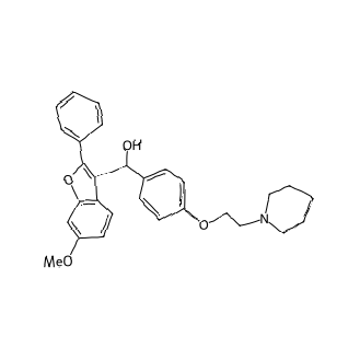 COc1ccc2c(C(O)c3ccc(OCCN4CCCCC4)cc3)c(-c3ccccc3)oc2c1